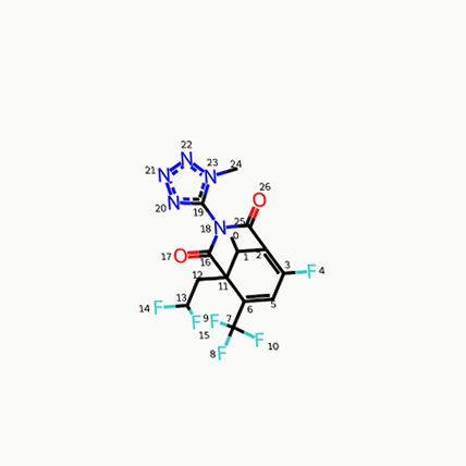 CC1C2=C(F)C=C(C(F)(F)F)C1(CC(F)F)C(=O)N(c1nnnn1C)C2=O